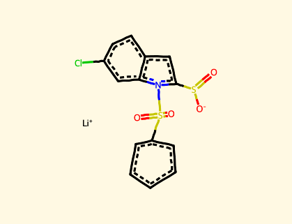 O=S([O-])c1cc2ccc(Cl)cc2n1S(=O)(=O)c1ccccc1.[Li+]